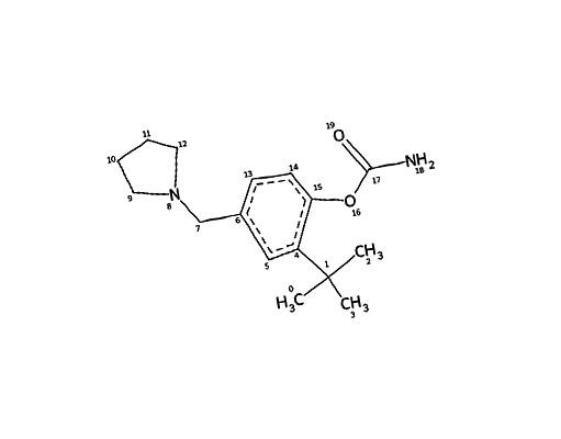 CC(C)(C)c1cc(CN2CCCC2)ccc1OC(N)=O